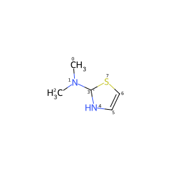 CN(C)[C]1NC=CS1